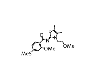 COCCn1c(C)c(C)sc1=NC(=O)c1ccc(SC)cc1OC